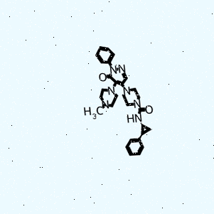 CN1CCN(c2c(N3CCN(C(=O)N[C@@H]4C[C@H]4c4ccccc4)CC3)cnn(-c3ccccc3)c2=O)CC1